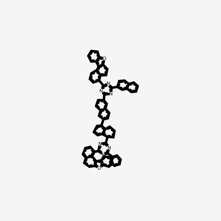 c1ccc(-c2nc(-c3cccc4c(-c5ccc6cc(-c7nc(-c8ccc9ccccc9c8)nc(-c8cccc9c8ccc8oc%10ccccc%10c89)n7)ccc6c5)cccc34)nc(-c3cccc4ccc5oc6ccccc6c5c34)n2)cc1